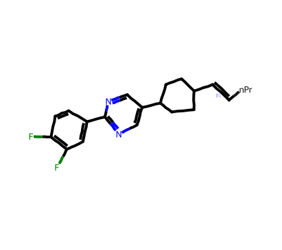 CCC/C=C/C1CCC(c2cnc(-c3ccc(F)c(F)c3)nc2)CC1